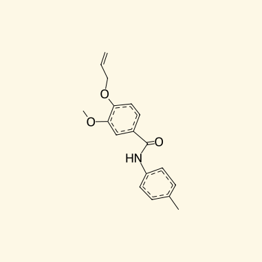 C=CCOc1ccc(C(=O)Nc2ccc(C)cc2)cc1OC